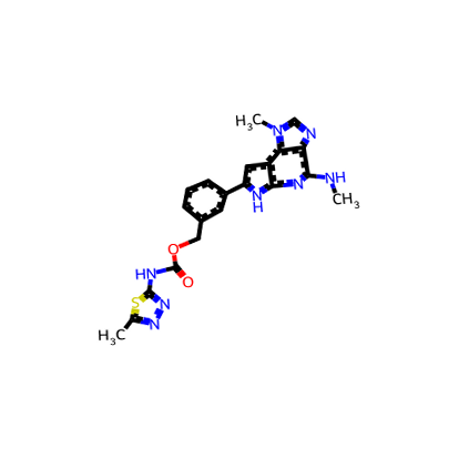 CNc1nc2[nH]c(-c3cccc(COC(=O)Nc4nnc(C)s4)c3)cc2c2c1ncn2C